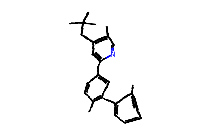 Cc1cnc(-c2ccc(C)c(-c3ccccc3C)c2)cc1CC(C)(C)C